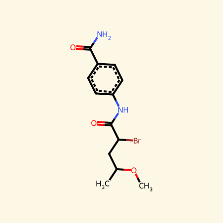 COC(C)CC(Br)C(=O)Nc1ccc(C(N)=O)cc1